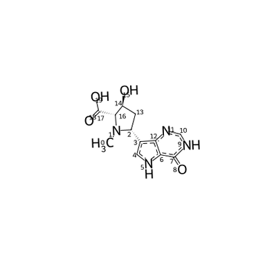 CN1[C@@H](c2c[nH]c3c(=O)[nH]cnc23)C[C@H](O)[C@H]1C(=O)O